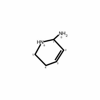 NC1C=CCCN1